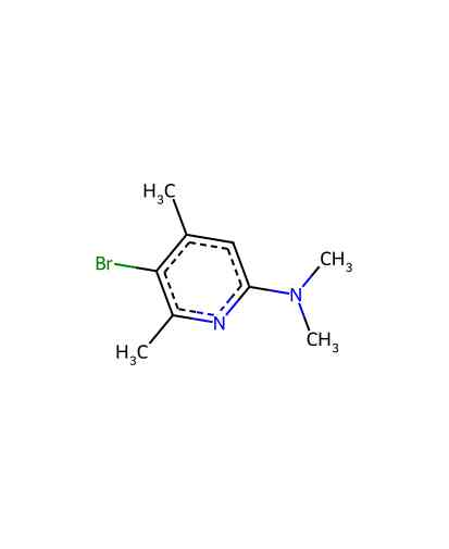 Cc1cc(N(C)C)nc(C)c1Br